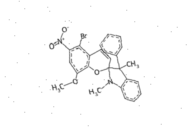 COc1cc([N+](=O)[O-])c(Br)c2c1OC1(C=C2)N(C)c2ccccc2C1(C)c1ccccc1